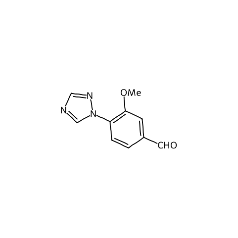 COc1cc(C=O)ccc1-n1cncn1